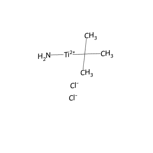 C[C](C)(C)[Ti+2][NH2].[Cl-].[Cl-]